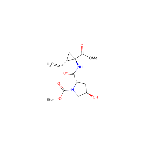 C=C[C@@H]1C[C@]1(NC(=O)[C@@H]1C[C@@H](O)CN1C(=O)OC(C)(C)C)C(=O)OC